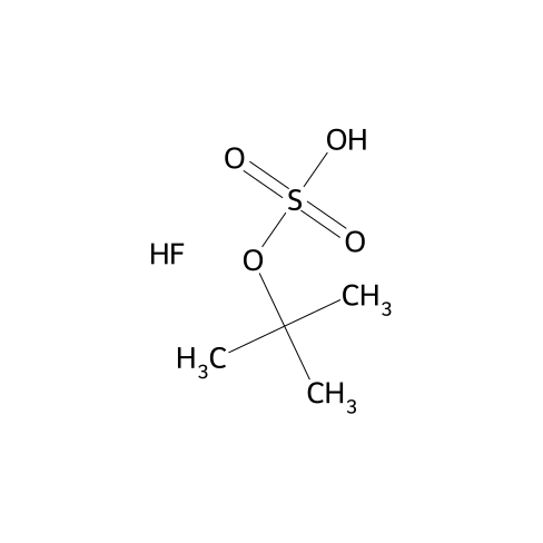 CC(C)(C)OS(=O)(=O)O.F